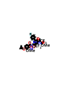 COC(=O)N[C@@]1(C(F)(F)F)COc2c1cc(C(O)(CNC(=O)c1ccc(OC3CC3)c(OC)c1)C(F)(F)F)nc2-c1ccc(F)cc1